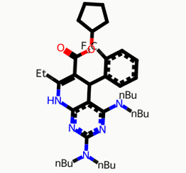 CCCCN(CCCC)c1nc2c(c(N(CCCC)CCCC)n1)C(c1ccccc1C(F)(F)F)C(C(=O)OC1CCCC1)=C(CC)N2